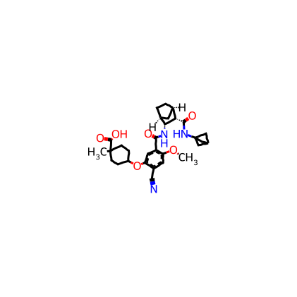 COc1cc(C#N)c(OC2CCC(C)(C(=O)O)CC2)cc1C(=O)N[C@@H]1[C@H]2CC[C@H](C2)[C@@H]1C(=O)NC12CC(C1)C2